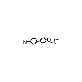 CC[C@@H](C)COc1ccc(-c2ccc(C#N)cc2)cc1